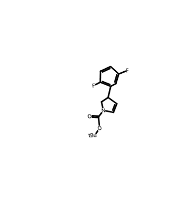 CC(C)(C)OC(=O)N1C=CC(c2cc(F)ccc2F)C1